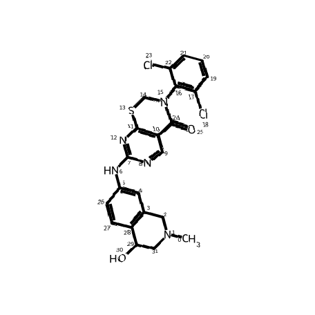 CN1Cc2cc(Nc3ncc4c(n3)SCN(c3c(Cl)cccc3Cl)C4=O)ccc2C(O)C1